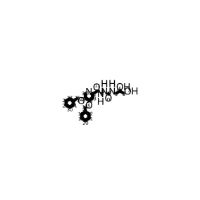 O=C(NC[C@@H](O)CO)NNC(=O)c1cc(OCc2ccccc2)c(OCc2ccccc2)cn1